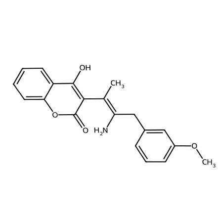 COc1cccc(C/C(N)=C(\C)c2c(O)c3ccccc3oc2=O)c1